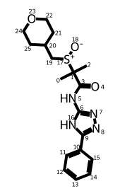 CC(C)(C(=O)Nc1nnc(-c2ccccc2)[nH]1)[S+]([O-])CC1CCOCC1